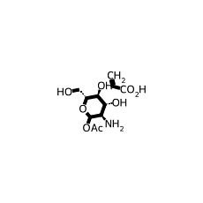 C=CC(=O)O.CC(=O)OC1O[C@H](CO)[C@@H](O)[C@H](O)[C@H]1N